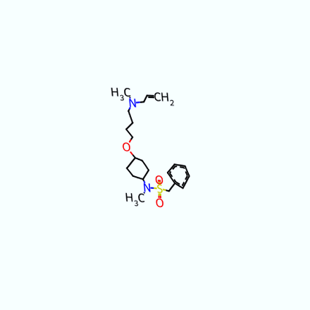 C=CCN(C)CCCCOC1CCC(N(C)S(=O)(=O)Cc2ccccc2)CC1